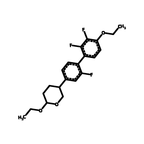 CCOc1ccc(-c2ccc(C3CCC(OCC)OC3)cc2F)c(F)c1F